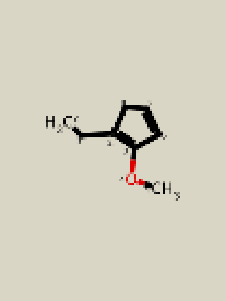 CCC1=C(OC)C=CC1